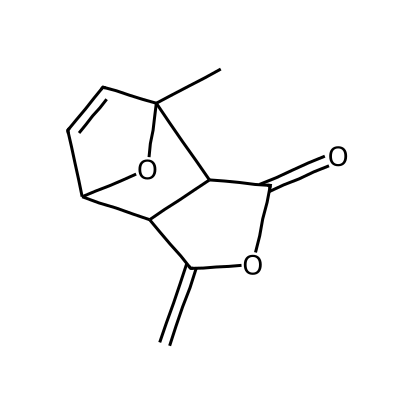 C=C1OC(=O)C2C1C1C=CC2(C)O1